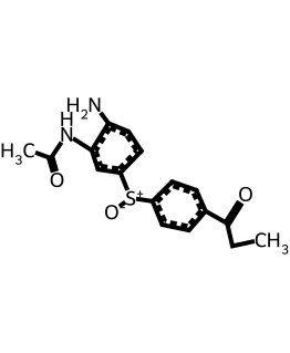 CCC(=O)c1ccc([S+]([O-])c2ccc(N)c(NC(C)=O)c2)cc1